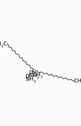 CCCCCCCCCCCCCCCCC[Si](C)(CCCCCCCCCCCCCCCC)O[SiH2]O[SiH3]